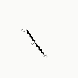 CCCCCCCCN(Br)CCCCCCCC